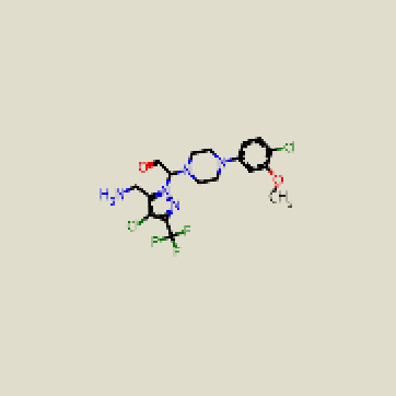 COc1cc(N2CCN(C(C=O)n3nc(C(F)(F)F)c(Cl)c3CN)CC2)ccc1Cl